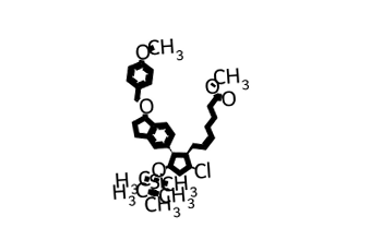 COC(=O)CCC/C=C\C[C@@H]1[C@@H](c2ccc3c(c2)CCC3OCc2ccc(OC)cc2)[C@H](O[Si](C)(C)C(C)(C)C)C[C@H]1Cl